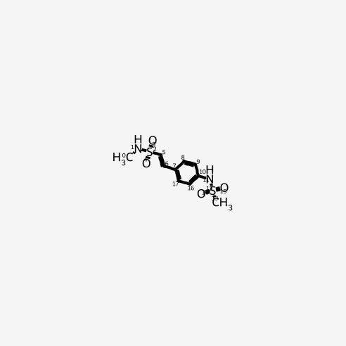 CNS(=O)(=O)/C=C/c1ccc(NS(C)(=O)=O)cc1